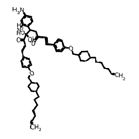 C=CCCCCCC1CCC(COc2ccc(C=CC(=O)CC(c3ccc(N)cc3N)C(O)(O)C(=O)C=Cc3ccc(OCC4CCC(CCCCCC=C)CC4)cc3)cc2)CC1